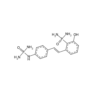 NP(N)(=O)Nc1ccc(C=Cc2cccc(O)c2P(N)(N)=O)cc1